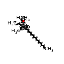 CCCCCCCCCCCCCCCCS(=O)(=O)OP(CCCC)(CCCC)(CCCC)CCCC